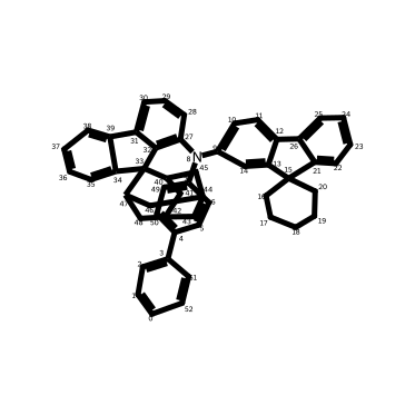 c1ccc(-c2ccc(N(c3ccc4c(c3)C3(CCCCC3)c3ccccc3-4)c3cccc4c3C3(c5ccccc5-4)C4CC5CC(C4)CC3C5)cc2)cc1